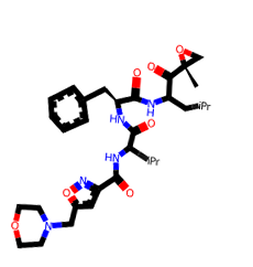 CC(C)CC(NC(=O)[C@H](Cc1ccccc1)NC(=O)C(NC(=O)c1cc(CN2CCOCC2)on1)C(C)C)C(=O)[C@@]1(C)CO1